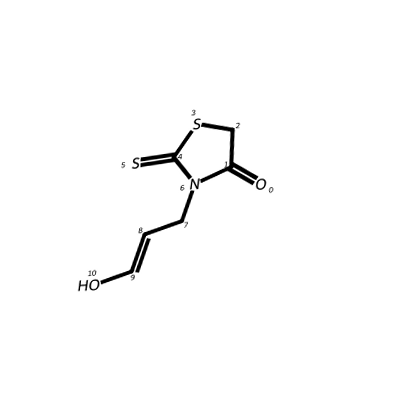 O=C1CSC(=S)N1CC=CO